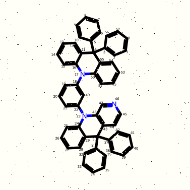 c1ccc(C2(c3ccccc3)c3ccccc3N(c3cccc(N4c5ccccc5C(c5ccccc5)(c5ccccc5)c5ccncc54)c3)c3ccccc32)cc1